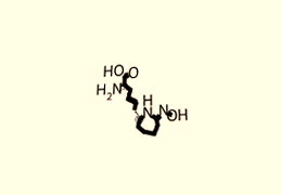 N[C@@H](CC=CC[C@H]1CCCCC(=NO)N1)C(=O)O